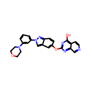 Oc1nc(Oc2ccc3nn(-c4cccc(N5CCOCC5)c4)cc3c2)nc2cnccc12